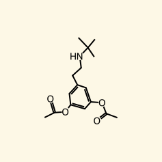 CC(=O)Oc1cc(CCNC(C)(C)C)cc(OC(C)=O)c1